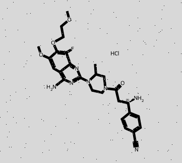 COCCOc1c(OC)cc2c(N)nc(N3CCN(C(=O)C[C@@H](N)c4ccc(C#N)cc4)CC3C)nc2c1F.Cl